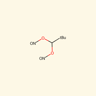 CC(C)(C)C(ON=O)ON=O